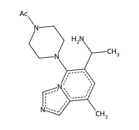 CC(=O)N1CCN(c2c(C(C)N)cc(C)c3cncn23)CC1